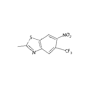 Cc1nc2cc(C(F)(F)F)c([N+](=O)[O-])cc2s1